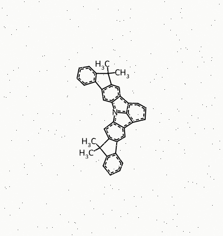 CC1(C)c2ccccc2-c2cc3c(cc21)c1cccc2c4cc5c(cc4n3c12)C(C)(C)c1ccccc1-5